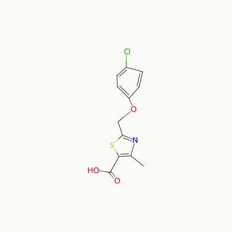 Cc1nc(COc2ccc(Cl)cc2)sc1C(=O)O